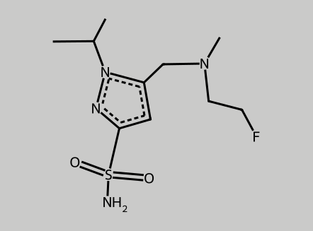 CC(C)n1nc(S(N)(=O)=O)cc1CN(C)CCF